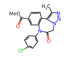 COC(=O)c1ccc2c(c1)N(c1ccc(Cl)cc1)C(=O)Cn1nnc(C)c1-2